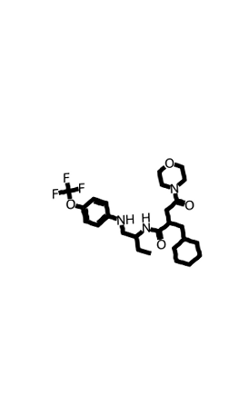 CCC(CNc1ccc(OC(F)(F)F)cc1)NC(=O)C(CC(=O)N1CCOCC1)CC1CCCCC1